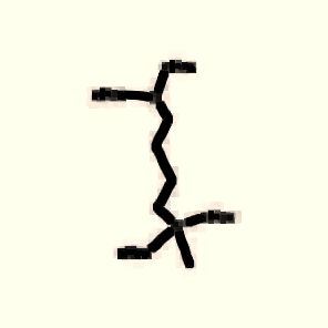 CCCCCCN(CCCCCC)CCCC[N+](C)(CCCCCC)CCCCCC